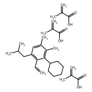 C=C(C)C(=O)O.C=C(C)C(=O)O.C=C(C)C(=O)O.C=Cc1c(CC(C)C)cc(C)c(C)c1C1CCCCC1